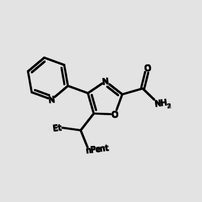 CCCCCC(CC)c1oc(C(N)=O)nc1-c1ccccn1